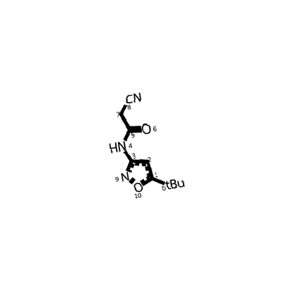 CC(C)(C)c1cc(NC(=O)CC#N)no1